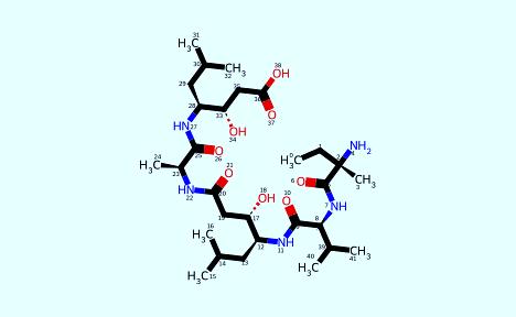 CC[C@](C)(N)C(=O)N[C@H](C(=O)N[C@@H](CC(C)C)[C@@H](O)CC(=O)N[C@@H](C)C(=O)N[C@@H](CC(C)C)[C@@H](O)CC(=O)O)C(C)C